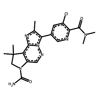 Cc1nc2c3c(cnn2c1-c1cnc(C(=O)N(C)C)c(Cl)c1)N(C(N)=O)CC3(C)C